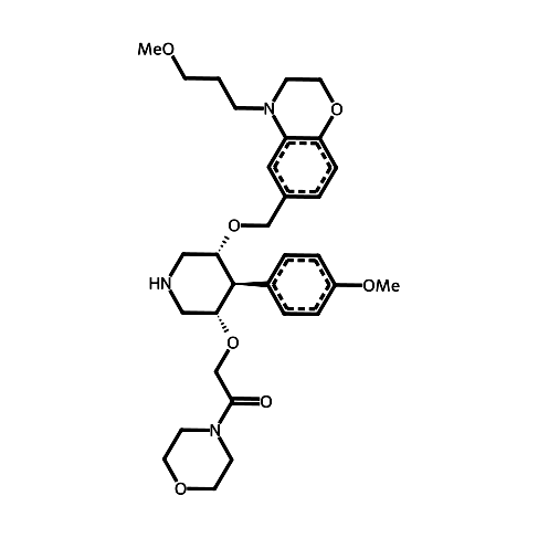 COCCCN1CCOc2ccc(CO[C@H]3CNC[C@@H](OCC(=O)N4CCOCC4)[C@@H]3c3ccc(OC)cc3)cc21